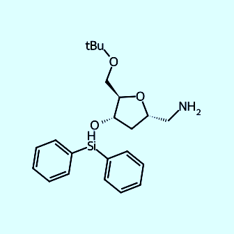 CC(C)(C)OC[C@H]1O[C@H](CN)C[C@@H]1O[SiH](c1ccccc1)c1ccccc1